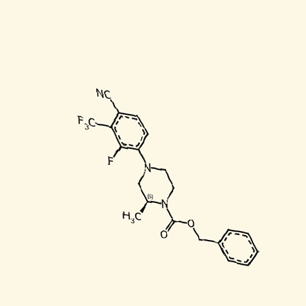 C[C@H]1CN(c2ccc(C#N)c(C(F)(F)F)c2F)CCN1C(=O)OCc1ccccc1